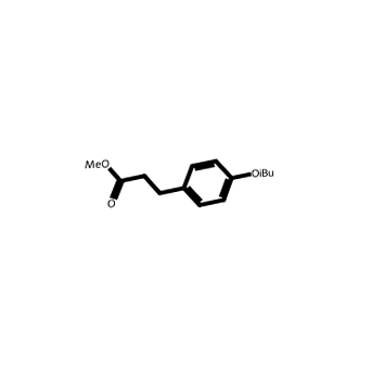 COC(=O)CCc1ccc(OCC(C)C)cc1